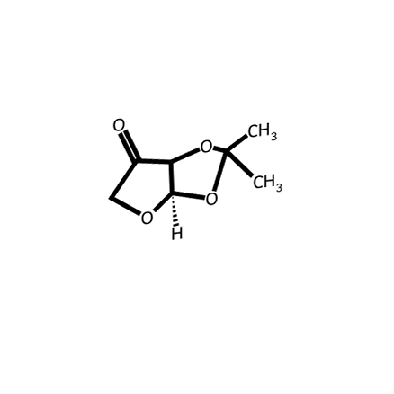 CC1(C)OC2C(=O)CO[C@@H]2O1